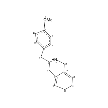 COc1ccc(CC2CC3=CCCC=C3CN2)cc1